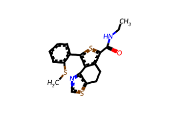 CCNC(=O)c1sc(-c2ccccc2SC)c2c1CCc1scnc1-2